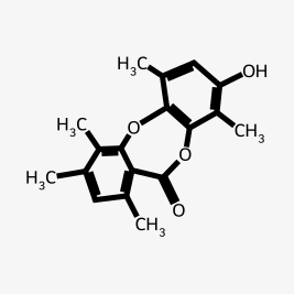 Cc1cc(C)c2c(c1C)Oc1c(C)cc(O)c(C)c1OC2=O